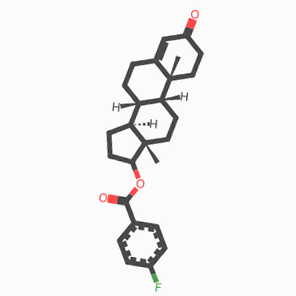 C[C@]12CCC(=O)C=C1CC[C@@H]1[C@H]2CC[C@]2(C)C(OC(=O)c3ccc(F)cc3)CC[C@@H]12